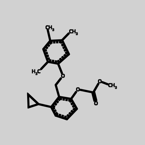 COC(=O)Oc1cccc(C2CC2)c1COc1cc(C)c(C)cc1C